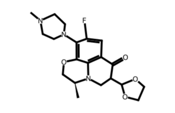 C[C@H]1COc2c(N3CCN(C)CC3)c(F)cc3c2N1CC(C1OCCO1)C3=O